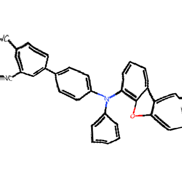 N#Cc1ccc(-c2ccc(N(c3ccccc3)c3cccc4c3oc3ccccc34)cc2)cc1C#N